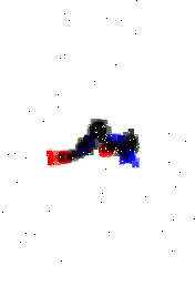 Nc1nc2c(F)cccc2c2nc(C(=O)NCc3ccccc3N3CCN(CCCO)CC3)cn12